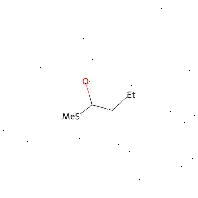 CCCC([O])SC